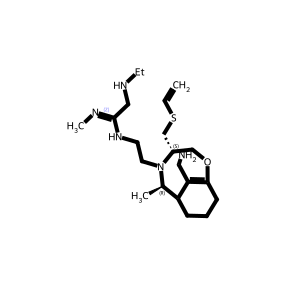 C=CSC[C@@H]1COC2=C(CN)C(CCC2)[C@@H](C)N1CCN/C(CNCC)=N\C